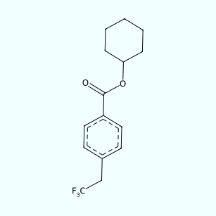 O=C(OC1CCCCC1)c1ccc(CC(F)(F)F)cc1